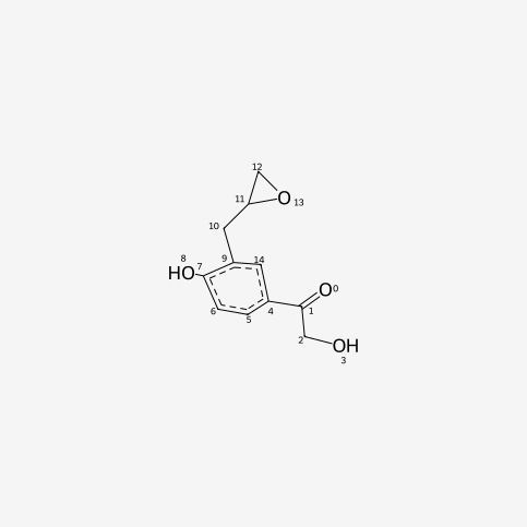 O=C(CO)c1ccc(O)c(CC2CO2)c1